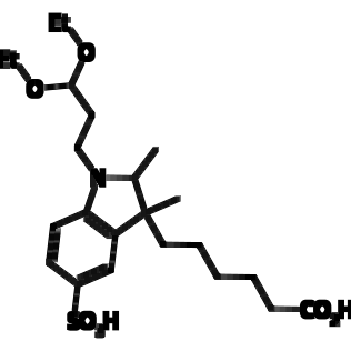 CCOC(CCN1c2ccc(S(=O)(=O)O)cc2C(C)(CCCCCC(=O)O)C1C)OCC